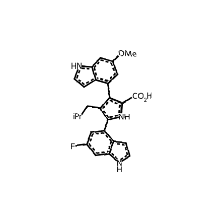 COc1cc(-c2c(C(=O)O)[nH]c(-c3cc(F)cc4[nH]ccc34)c2CC(C)C)c2cc[nH]c2c1